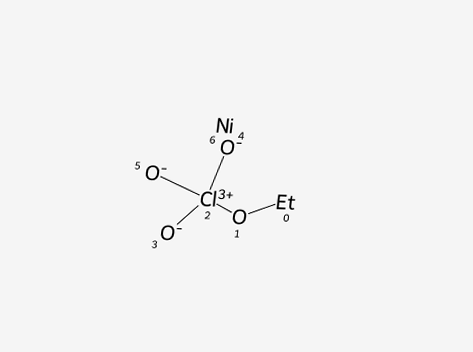 CCO[Cl+3]([O-])([O-])[O-].[Ni]